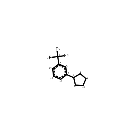 FC(F)(F)c1[c]c(C2[CH]CCC2)ccc1